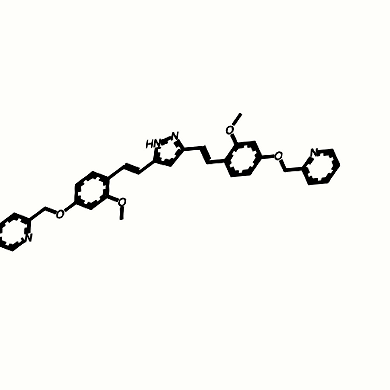 COc1cc(OCc2ccccn2)ccc1/C=C/c1cc(/C=C/c2ccc(OCc3ccccn3)cc2OC)[nH]n1